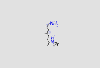 C=C(CC/C(C)=C/C=C\N)NC(C)C